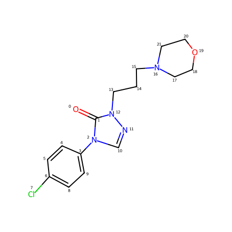 O=c1n(-c2ccc(Cl)cc2)cnn1CCCN1CCOCC1